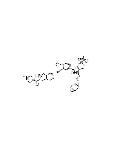 CN1CCN(C(=O)[C@@H]2Cc3ccc(C#Cc4cc(-c5nn(CCCN6CCOCC6)c6c5CN(S(C)(=O)=O)CC6)ccc4Cl)cc3CN2)CC1